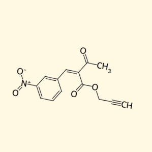 C#CCOC(=O)C(=Cc1cccc([N+](=O)[O-])c1)C(C)=O